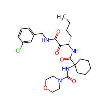 CCCC[C@H](NC(=O)C1(NC(=O)N2CCOCC2)CCCCC1)C(=O)C(=O)NCc1cccc(Cl)c1